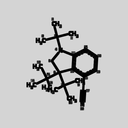 CC(C)(C)N1CC(C(C)(C)C)(C(C)(C)C)c2c(C#N)cccc21